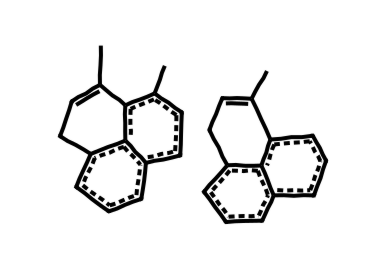 CC1=CCc2cccc3ccc(C)c1c23.CC1=CCc2cccc3cccc1c23